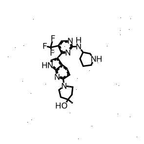 CC1(O)CCN(c2ccc3c(-c4nc(NC5CCCNC5)ncc4C(F)(F)F)c[nH]c3n2)CC1